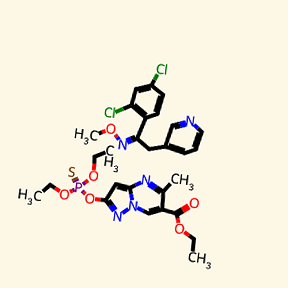 CCOC(=O)c1cn2nc(OP(=S)(OCC)OCC)cc2nc1C.CO/N=C(/Cc1cccnc1)c1ccc(Cl)cc1Cl